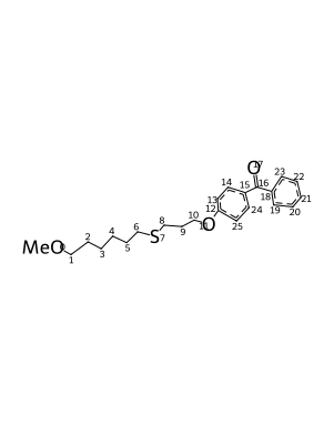 COCCCCCCSCCCOc1ccc(C(=O)c2ccccc2)cc1